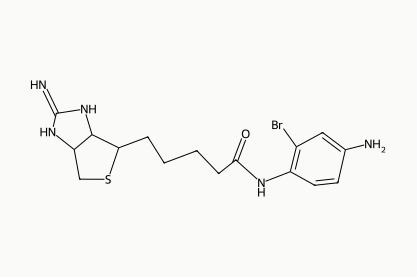 N=C1NC2CSC(CCCCC(=O)Nc3ccc(N)cc3Br)C2N1